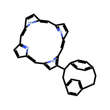 C1=Cc2cc3cc(C4Cc5ccc(cc5)CCc5ccc4cc5)c(cc4nc(cc5ccc(cc1n2)[nH]5)C=C4)[nH]3